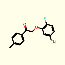 Cc1ccc(C(=O)COc2cc(C#N)ccc2F)cc1